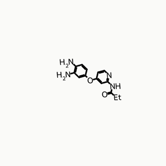 CCC(=O)Nc1cc(Oc2ccc(N)c(N)c2)ccn1